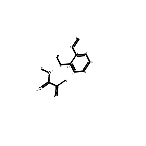 C=C(C)C(=O)OC.C=Cc1ccccc1CC